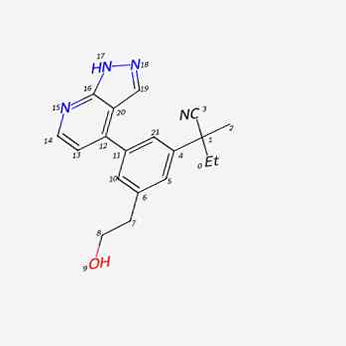 CCC(C)(C#N)c1cc(CCO)cc(-c2ccnc3[nH]ncc23)c1